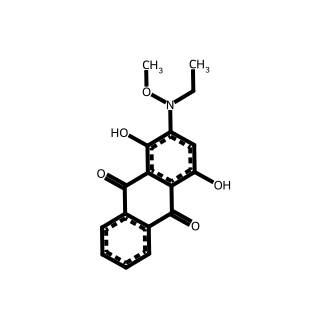 CCN(OC)c1cc(O)c2c(c1O)C(=O)c1ccccc1C2=O